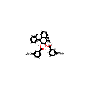 COc1cccc(C(=O)OC2C(OC(=O)c3cccc(OC)c3)C(C)C3(C)C=CC=CC3C2c2ccccc2C)c1